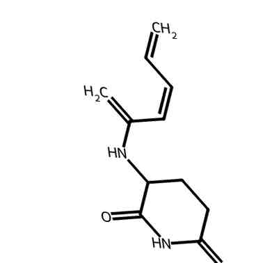 C=C/C=C\C(=C)NC1CCC(=O)NC1=O